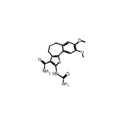 COc1cc2c(cc1OC)-c1sc(NC(N)=O)c(C(N)=O)c1CCC2